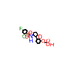 O=C(O)COc1cccc2c1OC1CCC(NS(=O)(=O)c3ccc(F)cc3Cl)C21